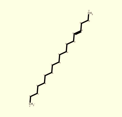 [CH2]CCCCCCCCCCCCC=CCCC